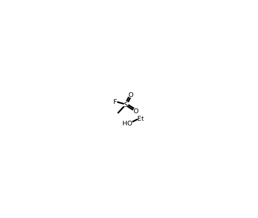 CCO.CS(=O)(=O)F